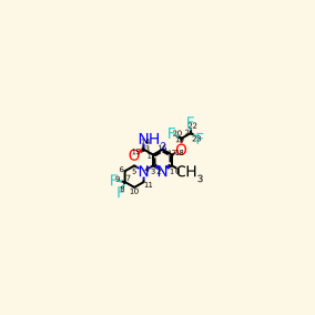 Cc1nc(N2CCC(F)(F)CC2)c(C(N)=O)cc1OC(F)C(F)F